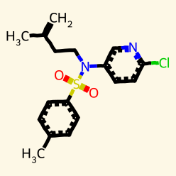 C=C(C)CCN(c1ccc(Cl)nc1)S(=O)(=O)c1ccc(C)cc1